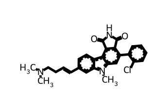 CN(C)CC/C=C/c1ccc2c3c4c(c(-c5ccccc5Cl)cc3n(C)c2c1)C(=O)NC4=O